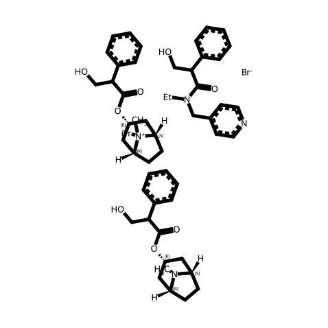 CC(C)[N+]1(C)[C@@H]2CC[C@H]1C[C@@H](OC(=O)C(CO)c1ccccc1)C2.CCN(Cc1ccncc1)C(=O)C(CO)c1ccccc1.CN1[C@@H]2CC[C@H]1C[C@@H](OC(=O)C(CO)c1ccccc1)C2.[Br-]